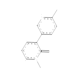 Cc1ccc(-c2cccn(C)c2=O)cn1